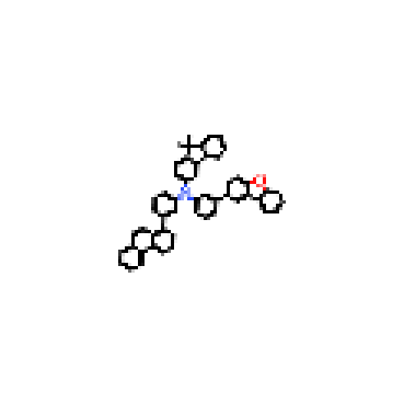 CC1(C)c2ccccc2-c2cc(N(c3cccc(-c4ccc5oc6ccccc6c5c4)c3)c3cccc(-c4cccc5c4ccc4ccccc45)c3)ccc21